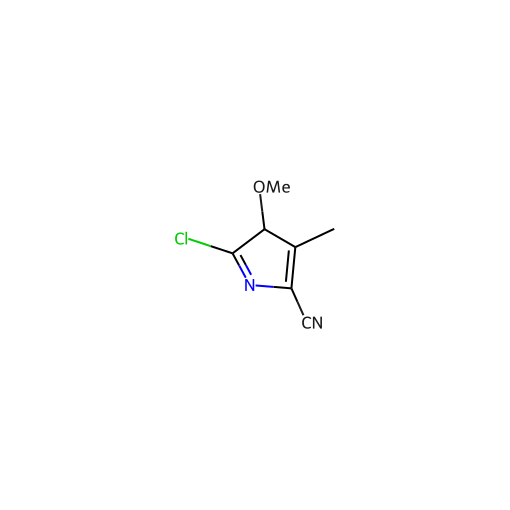 COC1C(Cl)=NC(C#N)=C1C